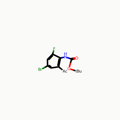 CC(=O)c1cc(Br)cc(F)c1NC(=O)OC(C)(C)C